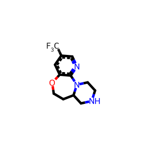 FC(F)(F)c1cnc2c(c1)OCCC1CNCCN21